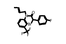 CC=CCN(C(=O)C(Br)c1ccc(F)cc1)c1cccc(C(F)(F)F)c1